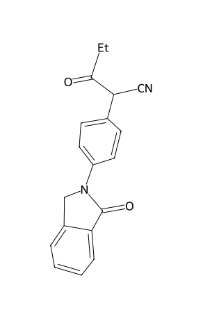 CCC(=O)C(C#N)c1ccc(N2Cc3ccccc3C2=O)cc1